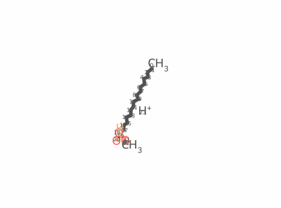 CCCCCCCCCCCCCCCCCCO[PH](=O)OC.[H+]